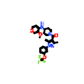 COC1COCCC1NC1CCN(C(=O)c2c(C)nn(-c3cccc(OC(F)(F)F)c3)c2C)CC1